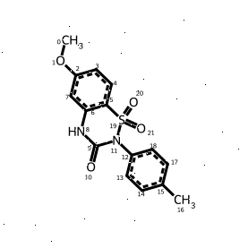 COc1ccc2c(c1)NC(=O)N(c1ccc(C)cc1)S2(=O)=O